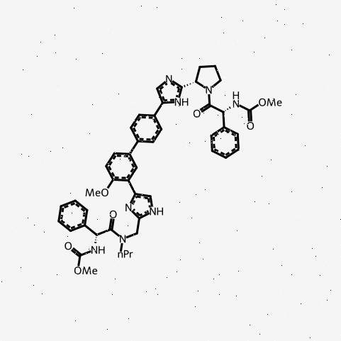 CCCN(Cc1nc(-c2cc(-c3ccc(-c4cnc([C@@H]5CCCN5C(=O)[C@H](NC(=O)OC)c5ccccc5)[nH]4)cc3)ccc2OC)c[nH]1)C(=O)[C@H](NC(=O)OC)c1ccccc1